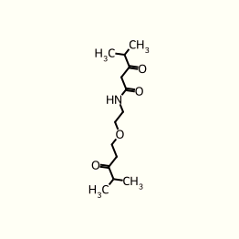 CC(C)C(=O)CCOCCNC(=O)CC(=O)C(C)C